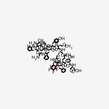 CCCC[C@@H](C(=O)N1C[C@H](O)C[C@@H]1C(=O)N[C@H](C=O)CC(=O)O)N(C)C(=O)[C@H](Cc1ccccc1)N(C)C(=O)[C@H](Cc1cc(F)c(F)c(F)c1)NC(=O)CSC[C@@H](CO)NC(=O)[C@H](CCOC)NC(=O)[C@H](Cc1ccc(O)cc1)NC(=O)[C@H](Cc1c[nH]c2ccccc12)NC(=O)[C@H]1COCCN1C(=O)[C@H](CCCN)NC(=O)[C@H](Cc1ccccc1)N(C)C(=O)[C@@H](N)C(C)C